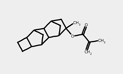 C=C(C)C(=O)OC1(C)CC2CC1C1C3CC(C4CCC43)C21